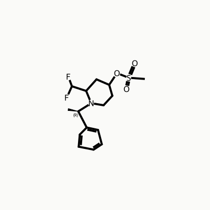 C[C@H](c1ccccc1)N1CCC(OS(C)(=O)=O)CC1C(F)F